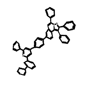 c1ccc(-c2cccc(-c3cc(-c4ccc(-c5ccc6c(c5)cc(-c5ccccc5)n5nc(-c7ccccc7)c(-c7ccccc7)c65)cc4)cc(-c4ccccc4)n3)c2)cc1